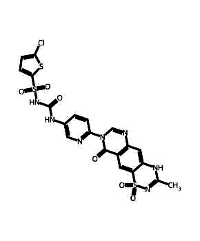 CC1=NS(=O)(=O)c2cc3c(=O)n(-c4ccc(NC(=O)NS(=O)(=O)c5ccc(Cl)s5)cn4)cnc3cc2N1